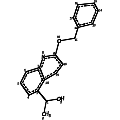 CC(O)c1cccc2nc(OCc3ccccc3)ccc12